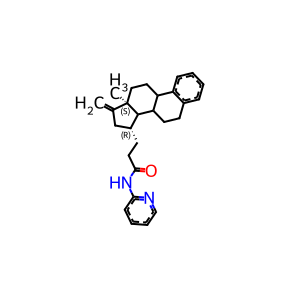 C=C1C[C@@H](CCC(=O)Nc2ccccn2)C2C3CCc4ccccc4C3CC[C@]12C